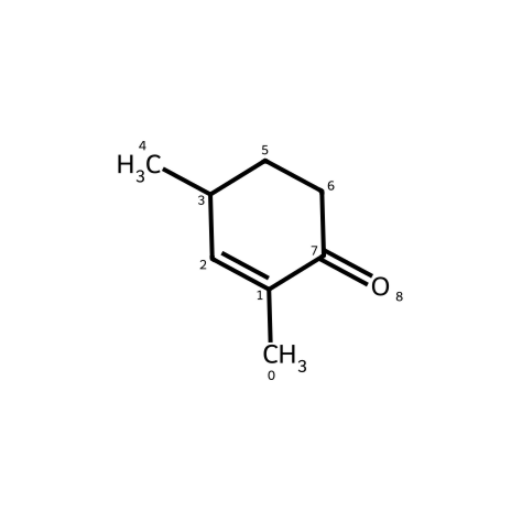 CC1=CC(C)CCC1=O